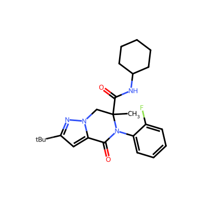 CC(C)(C)c1cc2n(n1)CC(C)(C(=O)NC1CCCCC1)N(c1ccccc1F)C2=O